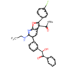 CNC(=O)c1c(-c2ccc(F)cc2)oc2nc(NCC(F)(F)F)c(-c3cccc(C(O)C(=O)c4ccccc4)c3)cc12